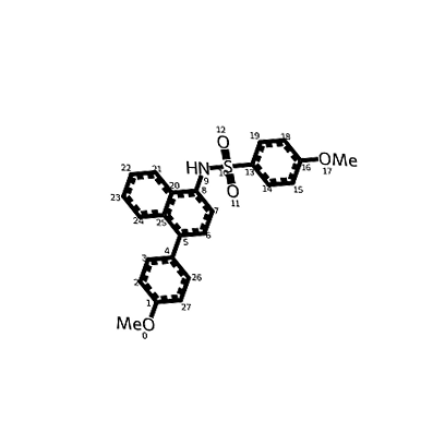 COc1ccc(-c2ccc(NS(=O)(=O)c3ccc(OC)cc3)c3ccccc23)cc1